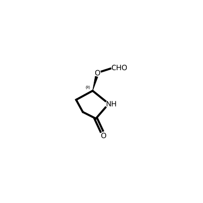 O=CO[C@@H]1CCC(=O)N1